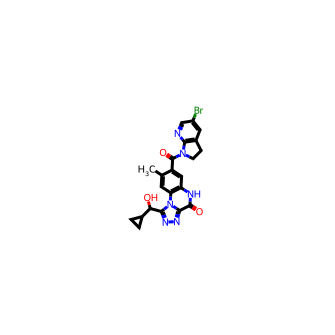 Cc1cc2c(cc1C(=O)N1CCc3cc(Br)cnc31)[nH]c(=O)c1nnc(C(O)C3CC3)n12